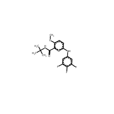 COc1ccc(Nc2cc(F)c(F)c(F)c2)nc1C(=O)NC(C)(C)C